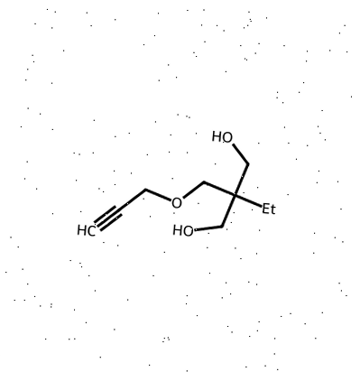 C#CCOCC(CC)(CO)CO